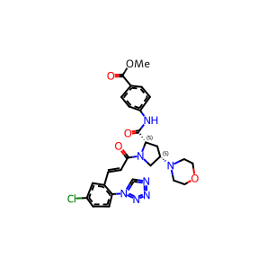 COC(=O)c1ccc(NC(=O)[C@@H]2C[C@H](N3CCOCC3)CN2C(=O)C=Cc2cc(Cl)ccc2-n2cnnn2)cc1